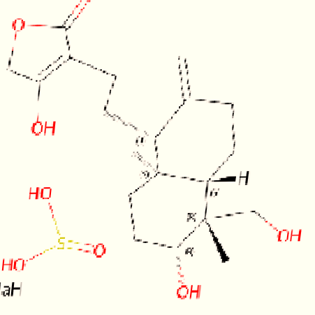 C=C1CC[C@@H]2[C@](C)(CO)[C@H](O)CC[C@@]2(C)[C@@H]1CCC1=C(O)COC1=O.O=S(O)O.[NaH]